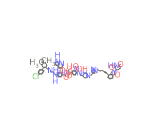 CC1(C)CCC(CNCCNc2ccc(C(=O)NS(=O)(=O)c3ccc(NCC4CCN(Cc5cnn(CCCC#Cc6cccc7c6CN(C6CCC(=O)NC6=O)C7=O)c5)CC4)c(N(O)O)c3)c(Oc3cnc4[nH]ccc4c3)c2)=C(c2ccc(Cl)cc2)C1